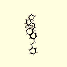 C[C@]12CC[C@@H]3c4ccc(OCc5ccccc5)cc4CC[C@H]3[C@@H]1C=CC21OCCO1